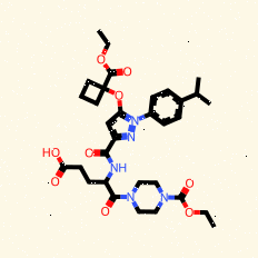 CCOC(=O)N1CCN(C(=O)C(CCC(=O)O)NC(=O)c2cc(OC3(C(=O)OCC)CCC3)n(-c3ccc(C(C)C)cc3)n2)CC1